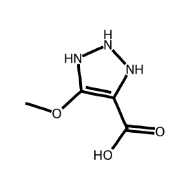 COC1=C(C(=O)O)NNN1